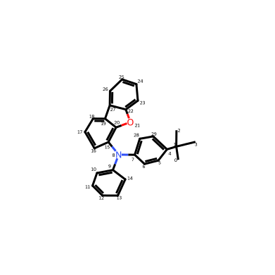 CC(C)(C)c1ccc(N(c2ccccc2)c2cccc3c2oc2ccccc23)cc1